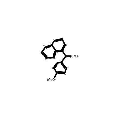 COc1ccc(C(SC)c2cccc3ccccc23)cc1